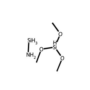 CO[SiH](OC)OC.N[SiH3]